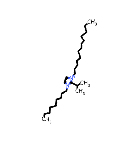 CCCCCCCCCCCCC[n+]1ccn(CCCCCCCCC)c1C(C)C